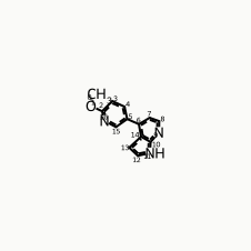 COc1ccc(-c2ccnc3[nH]ccc23)cn1